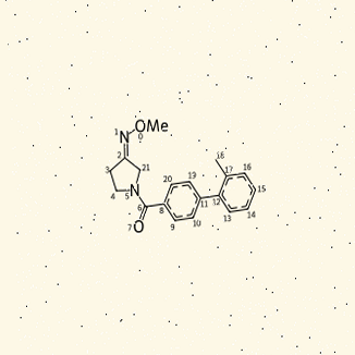 CON=C1CCN(C(=O)c2ccc(-c3ccccc3C)cc2)C1